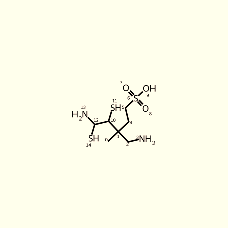 CC(CN)(CCS(=O)(=O)O)C(S)C(N)S